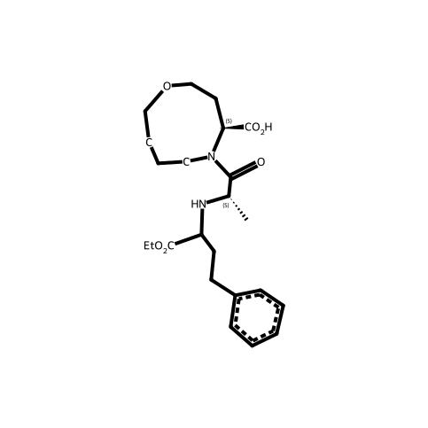 CCOC(=O)C(CCc1ccccc1)N[C@@H](C)C(=O)N1CCCCOCC[C@H]1C(=O)O